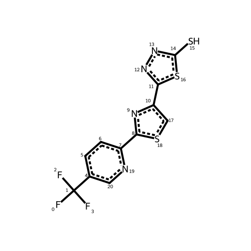 FC(F)(F)c1ccc(-c2nc(-c3nnc(S)s3)cs2)nc1